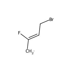 [CH2]C(F)=CCBr